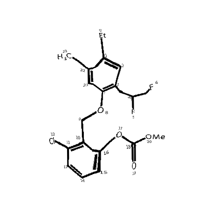 CCc1cc(C(F)F)c(OCc2c(Cl)cccc2OC(=O)OC)cc1C